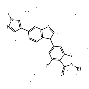 CCN1Cc2cc(C3C=Nc4cc(-c5cnn(C)c5)ccc43)cc(F)c2C1=O